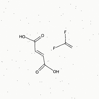 C=C(F)F.O=C(O)C=CC(=O)O